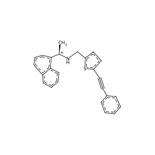 C[C@@H](NCc1ccc(C#Cc2ccccc2)s1)c1cccc2ccccc12